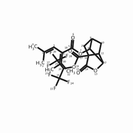 CC(C)=CC(C(=O)OC1C2CC3C1OC(=O)C3(C(=O)OC(C(F)(F)F)C(F)(F)F)C2)=C(C)C